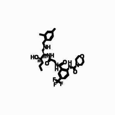 CCC[C@@H](O)[C@H](CNCc1ccc(C)cc1C)NC(=O)CNC(=O)c1cc(C(F)(F)F)ccc1NC(=O)N1CCOCC1